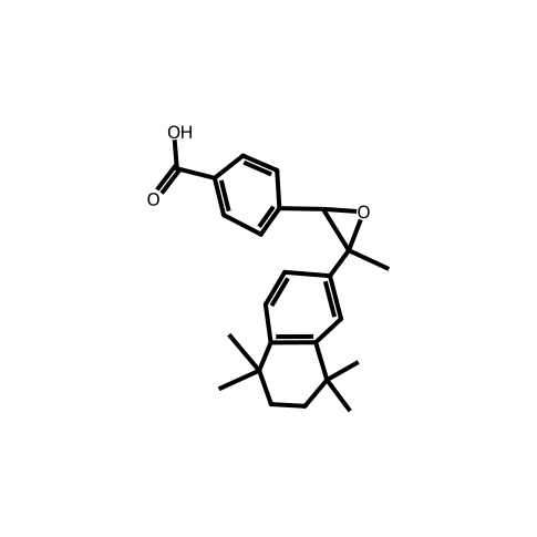 CC1(C)CCC(C)(C)c2cc(C3(C)OC3c3ccc(C(=O)O)cc3)ccc21